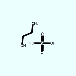 CCCO.O=S(=O)(O)O